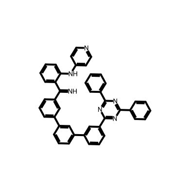 N=C(c1cccc(-c2cccc(-c3cccc(-c4nc(-c5ccccc5)nc(-c5ccccc5)n4)c3)c2)c1)c1ccccc1Nc1ccncc1